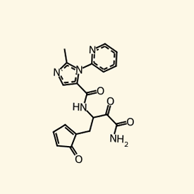 Cc1ncc(C(=O)NC(CC2=CC=CC2=O)C(=O)C(N)=O)n1-c1ccccn1